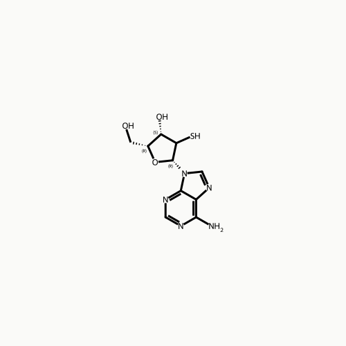 Nc1ncnc2c1ncn2[C@@H]1O[C@H](CO)[C@H](O)C1S